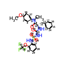 COc1ccc(N(C)C(=O)[C@H](Cc2ccccc2)NC(=O)NS(=O)(=O)Nc2ccccc2OC(F)(F)F)cc1